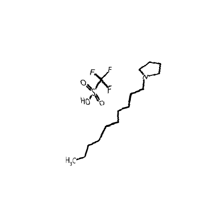 CCCCCCCCCCN1CCCC1.O=S(=O)(O)C(F)(F)F